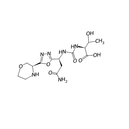 CC(O)[C@H](NC(=O)N[C@@H](CC(N)=O)c1nnc([C@@H]2COCCN2)o1)C(=O)O